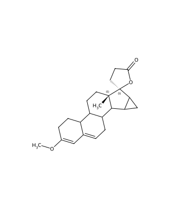 COC1=CC2=CCC3C(CC[C@@]4(C)C3C3CC3[C@@]43CCC(=O)O3)C2CC1